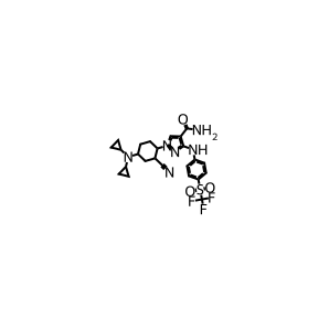 N#CC1CC(N(C2CC2)C2CC2)CCC1n1cc(C(N)=O)c(Nc2ccc(S(=O)(=O)C(F)(F)F)cc2)n1